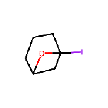 IC12CCCC(C1)O2